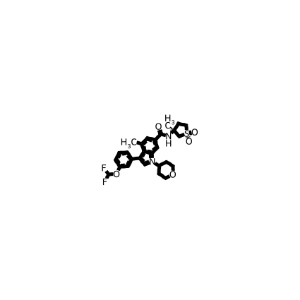 Cc1cc(C(=O)N[C@@]2(C)CCS(=O)(=O)C2)cc2c1c(-c1cccc(OC(F)F)c1)cn2C1CCOCC1